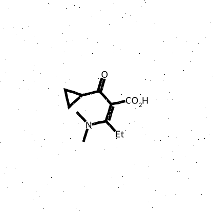 CCC(=C(C(=O)O)C(=O)C1CC1)N(C)C